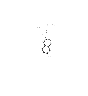 O=C(O)C(O)CSc1ccc2cc(Cl)ccc2c1